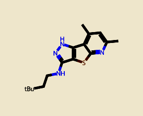 Cc1cc(C)c2c(n1)sc1c(NCCC(C)(C)C)n[nH]c12